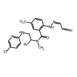 Cc1ccc(N/N=C\C=N)c(C(=O)N(C)C(CNc2ccc(Cl)cn2)C(C)C)c1